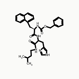 CC(C)C[CH]NC(=O)C(Cc1c[nH]cn1)NC(=O)[C@@H](Cc1cccc2ccccc12)NC(=O)OCc1ccccc1